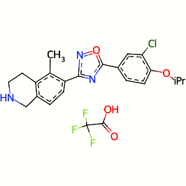 Cc1c(-c2noc(-c3ccc(OC(C)C)c(Cl)c3)n2)ccc2c1CCNC2.O=C(O)C(F)(F)F